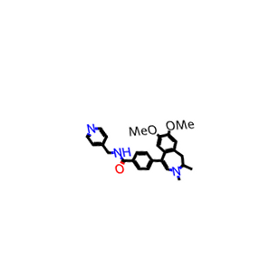 COc1cc2c(cc1OC)C(c1ccc(C(=O)NCc3ccncc3)cc1)=CN(C)C(C)C2